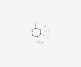 COc1ccc(C)c(N)c1C.Cl